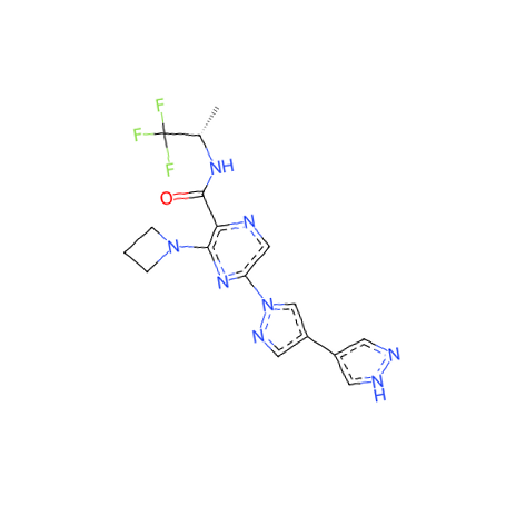 C[C@H](NC(=O)c1ncc(-n2cc(-c3cn[nH]c3)cn2)nc1N1CCC1)C(F)(F)F